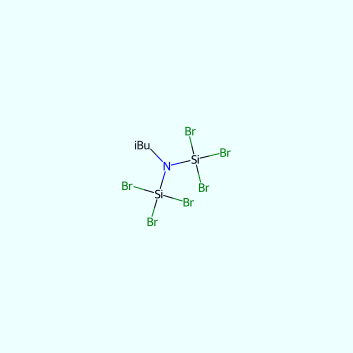 CCC(C)N([Si](Br)(Br)Br)[Si](Br)(Br)Br